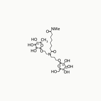 CNC(=O)CCCCCCC(=O)N(CCCO[C@@H]1O[C@H](CO)[C@@H](O)[C@H](O)[C@@H]1O)CCO[C@@H]1O[C@@H](C)[C@@H](O)[C@@H](O)[C@@H]1O